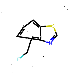 FCc1cccc2scnc12